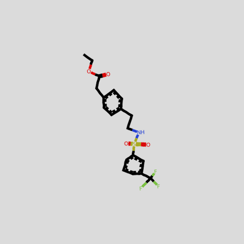 CCOC(=O)Cc1ccc(CCNS(=O)(=O)c2cccc(C(F)(F)F)c2)cc1